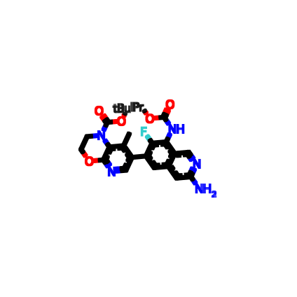 Cc1c(-c2cc3cc(N)ncc3c(NC(=O)OC(C)C)c2F)cnc2c1N(C(=O)OC(C)(C)C)CCO2